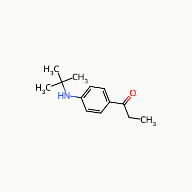 CCC(=O)c1ccc(NC(C)(C)C)cc1